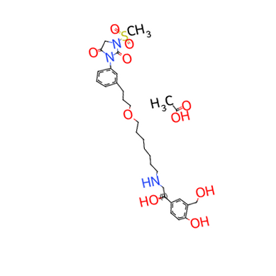 CC(=O)O.CS(=O)(=O)N1CC(=O)N(c2cccc(CCCOCCCCCCCNC[C@H](O)c3ccc(O)c(CO)c3)c2)C1=O